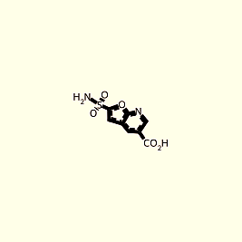 NS(=O)(=O)c1cc2cc(C(=O)O)cnc2o1